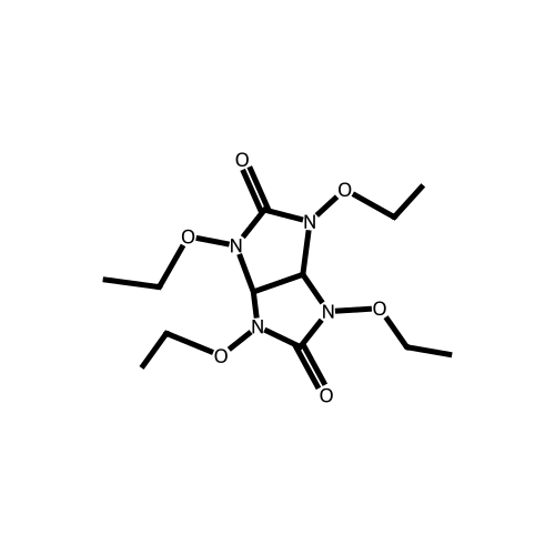 CCON1C(=O)N(OCC)C2C1N(OCC)C(=O)N2OCC